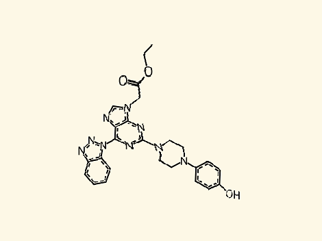 CCOC(=O)Cn1cnc2c(-n3nnc4ccccc43)nc(N3CCN(c4ccc(O)cc4)CC3)nc21